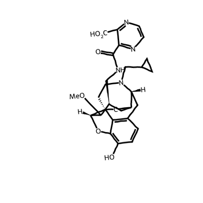 COC1[C@@H](CNC(=O)c2nccnc2C(=O)O)CC2C[C@@]34CCN(CC5CC5)[C@@H]2Cc2ccc(O)c(c23)O[C@@H]14